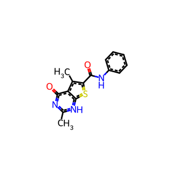 Cc1nc(=O)c2c(C)c(C(=O)Nc3ccccc3)sc2[nH]1